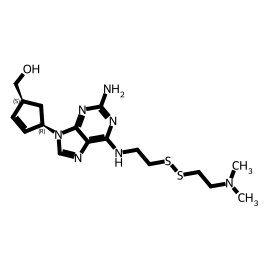 CN(C)CCSSCCNc1nc(N)nc2c1ncn2[C@H]1C=C[C@@H](CO)C1